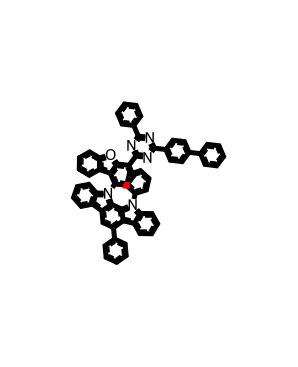 c1ccc(-c2ccc(-c3nc(-c4ccccc4)nc(-c4ccc(-n5c6ccccc6c6cc(-c7ccccc7)c7c8ccccc8n(-c8ccccc8)c7c65)c5c4oc4ccccc45)n3)cc2)cc1